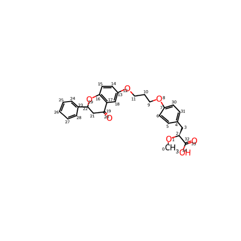 CO[C@@H](Cc1ccc(OCCCOc2ccc3c(c2)C(=O)CC(c2ccccc2)O3)cc1)C(=O)O